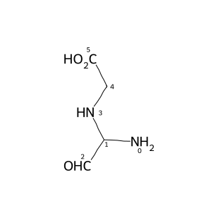 NC(C=O)NCC(=O)O